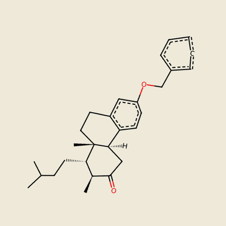 CC(C)CC[C@H]1[C@H](C)C(=O)C[C@@H]2c3ccc(OCc4ccccc4)cc3CC[C@]21C